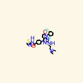 CCN(CC)CCCNc1nc(-c2ccc(C(=O)Nc3nccs3)cc2)c2ccc(=O)n(-c3c(F)cccc3F)c2n1